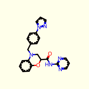 O=C(Nc1ncccn1)C1CN(Cc2ccc(-n3cccn3)cc2)c2ccccc2O1